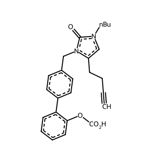 C#CCCc1cn(CCCC)c(=O)n1Cc1ccc(-c2ccccc2OC(=O)O)cc1